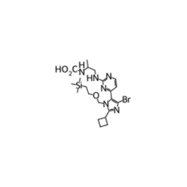 CC(CNc1nccc(-c2c(Br)nc(C3CCC3)n2COCC[Si](C)(C)C)n1)NC(=O)O